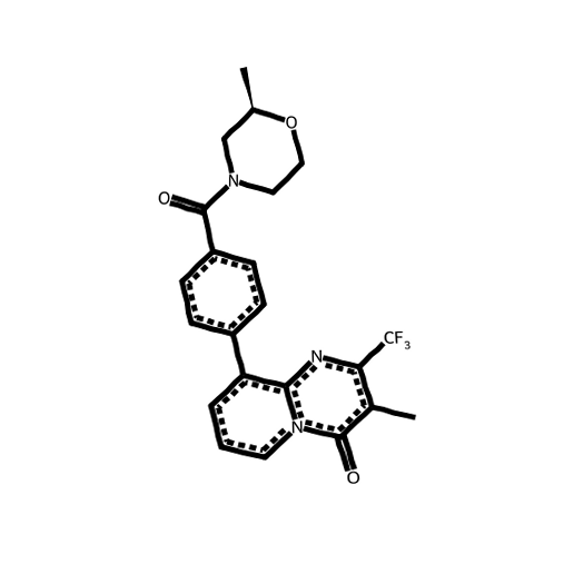 Cc1c(C(F)(F)F)nc2c(-c3ccc(C(=O)N4CCO[C@H](C)C4)cc3)cccn2c1=O